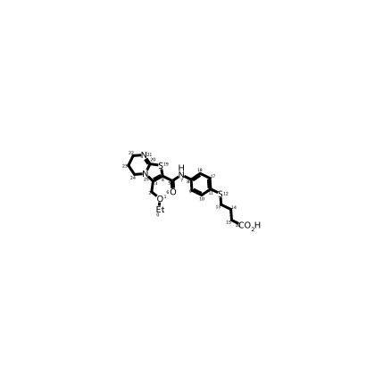 CCOCC1=C(C(=O)Nc2ccc(SCCCC(=O)O)cc2)SC2=NCCCN21